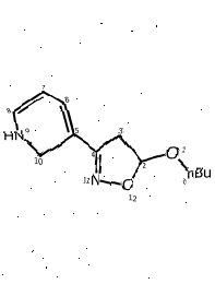 CCCCOC1CC(C2=CC=CNC2)=NO1